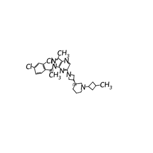 Cc1nn([C@H](C)c2ccc(Cl)cc2Cl)c2nc(N3CC([C@@H]4CCCN(C5CC(C)C5)C4)C3)cnc12